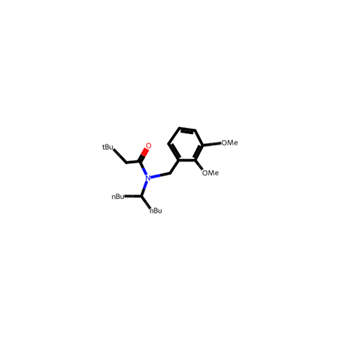 CCCCC(CCCC)N(Cc1cccc(OC)c1OC)C(=O)CC(C)(C)C